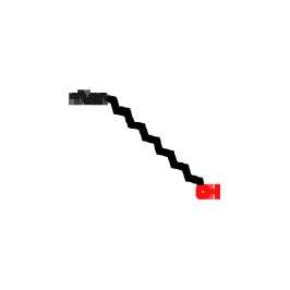 CCCCCCCCCCC=CCCCCCCCCCCO